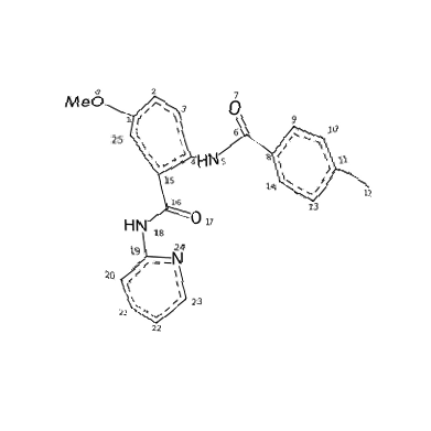 COc1ccc(NC(=O)c2ccc(C)cc2)c(C(=O)Nc2ccccn2)c1